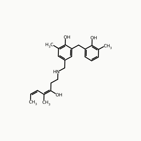 C/C=C\C(C)=C(\O)CCNCc1cc(C)c(O)c(Cc2cccc(C)c2O)c1